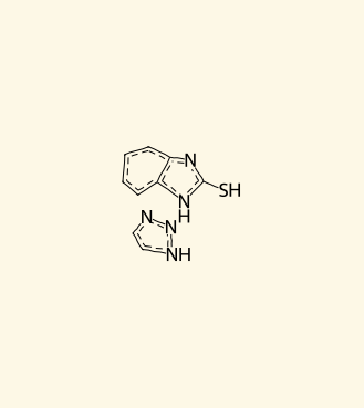 Sc1nc2ccccc2[nH]1.c1c[nH]nn1